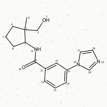 CC1(CO)CCCC1NC(=O)c1cccc(-n2ccnc2)c1